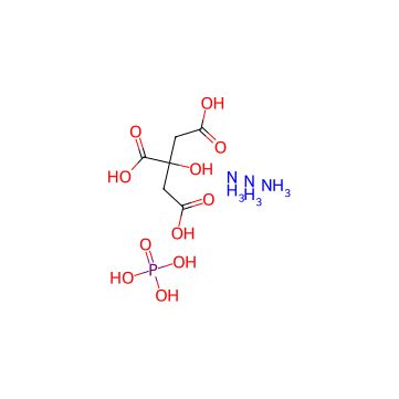 N.N.N.O=C(O)CC(O)(CC(=O)O)C(=O)O.O=P(O)(O)O